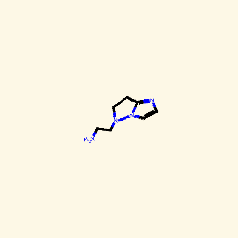 NCCN1CCc2nccn21